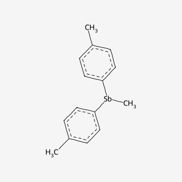 Cc1cc[c]([Sb]([CH3])[c]2ccc(C)cc2)cc1